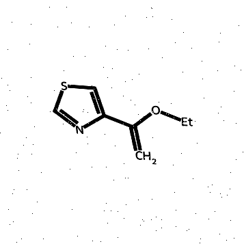 C=C(OCC)c1cscn1